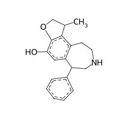 CC1COc2c(O)cc3c(c21)CCNCC3c1ccccc1